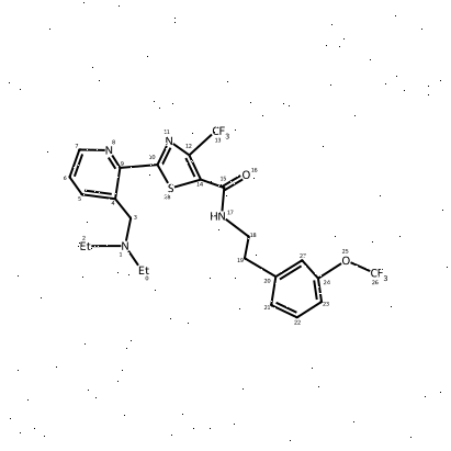 CCN(CC)Cc1cccnc1-c1nc(C(F)(F)F)c(C(=O)NCCc2cccc(OC(F)(F)F)c2)s1